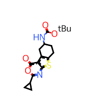 CC(C)(C)OC(=O)NC1CCc2sc3nc(C4CC4)oc(=O)c3c2C1